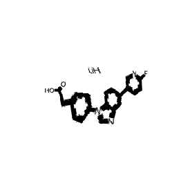 O=C(O)Cc1ccc(-n2cnc3cc(-c4ccc(F)nc4)ccc32)cc1.[LiH]